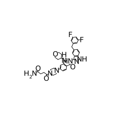 NC(=O)CCC(=O)N1CCN(c2ccc(C(=O)Nc3n[nH]c4ccc(Cc5cc(F)cc(F)c5)cc34)c(NC3CCOCC3)c2)CC1